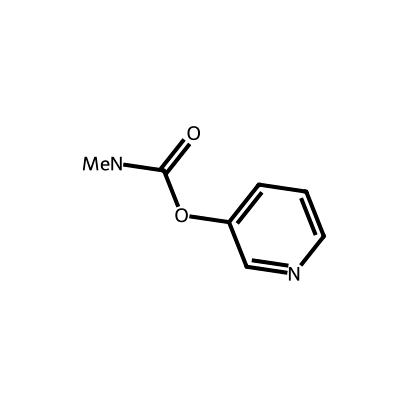 CNC(=O)Oc1cccnc1